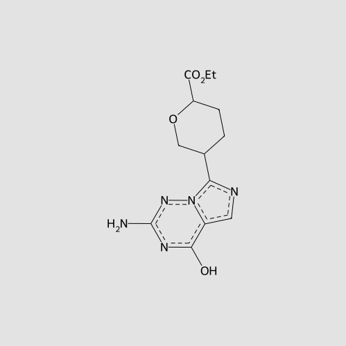 CCOC(=O)C1CCC(c2ncc3c(O)nc(N)nn23)CO1